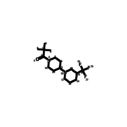 CC(C)(C)C(=O)N1CCC(N2CCCC(C(F)(F)F)C2)CC1